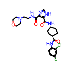 O=C(NCCN1CCOCC1)c1nc[nH]c1C(=O)N[C@H]1CC[C@H](C(=O)Nc2ccc(F)cc2Cl)CC1